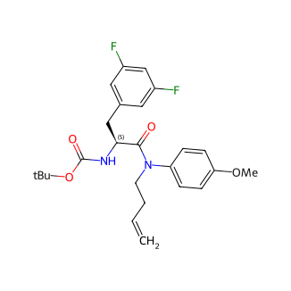 C=CCCN(C(=O)[C@H](Cc1cc(F)cc(F)c1)NC(=O)OC(C)(C)C)c1ccc(OC)cc1